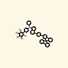 [2H]c1c([2H])c([2H])c(-c2ccc(N(c3ccccc3)c3cccc4c(-c5ccc(-c6ccc7c(c6)C6(c8ccccc8-c8ccccc86)c6ccccc6-7)cc5)cccc34)cc2)c([2H])c1[2H]